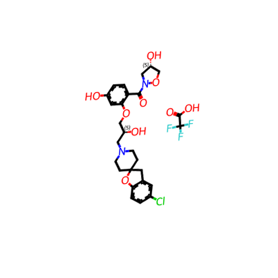 O=C(O)C(F)(F)F.O=C(c1ccc(O)cc1OC[C@@H](O)CN1CCC2(CC1)Cc1cc(Cl)ccc1O2)N1C[C@H](O)CO1